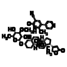 CO[C@H]1[C@H](O)[C@H](O[C@H]2CC[C@@]3(C)[C@H](CC[C@@H]4[C@@H]3CC[C@]3(C)[C@@H](C5=CC(=O)OC5)CC[C@]43O)C2)O[C@@H](C)[C@@H]1O.Cc1[nH]c(=O)c(C#N)cc1-c1ccncc1